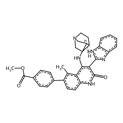 COC(=O)c1ccc(-c2ccc3[nH]c(=O)c(-c4nc5ccccc5[nH]4)c(N[C@H]4CN5CCC4CC5)c3c2C)cc1